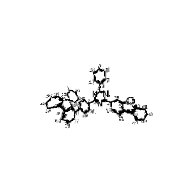 c1ccc(-c2nc(-c3ccc(-c4cccc5c4C4(CCCCC4)c4ccccc4-5)cc3)nc(-c3ccc4c(c3)oc3ccccc34)n2)cc1